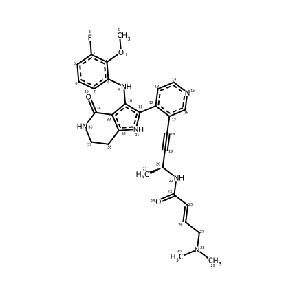 COc1c(F)cccc1Nc1c(-c2ccncc2C#C[C@H](C)NC(=O)/C=C/CN(C)C)[nH]c2c1C(=O)NCC2